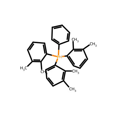 Cc1cccc([PH](c2ccccc2)(c2cccc(C)c2C)c2cccc(C)c2C)c1C